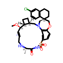 CO[C@@H]1/C=C/CN[C@@H](C)C(=O)NS(=O)(=O)c2ccc3c(c2)N(C[C@@H]2CC[C@H]21)C[C@@]1(CCCc2cc(Cl)ccc21)CO3